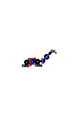 CC#CN1CCN(c2cnc(-c3cc(OC)c4c(NS(=O)(=O)c5c(OC)cccc5OC)noc4c3)s2)CC1